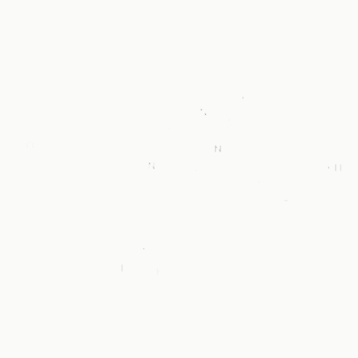 Cc1ccc(S(=O)(=NC2CC2)N2CCC[C@H]2C(=O)N(Cc2ccc3ccoc3c2)C2CCC(F)(F)CC2)cc1F